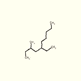 [CH2]CC(C)CC(CC)CCCCC